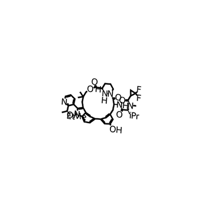 CCn1c(-c2cccnc2[C@H](C)OC)c2c3cc(ccc31)-c1cc(O)cc(c1)C[C@H](NC(=O)[C@H](C(C)C)N(C)C(=O)C1CC1(F)F)C(=O)N1CCC[C@H](N1)C(=O)OCC(C)(C)C2